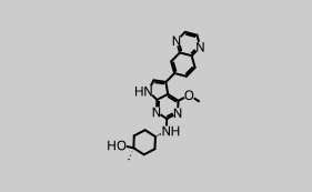 COc1nc(N[C@H]2CC[C@](C)(O)CC2)nc2[nH]cc(-c3ccc4nccnc4c3)c12